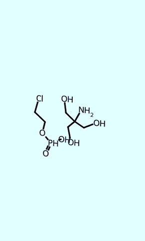 NC(CO)(CO)CO.O=[PH](O)OCCCl